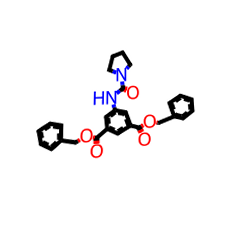 O=C(OCc1ccccc1)c1cc(NC(=O)N2CCCC2)cc(C(=O)OCc2ccccc2)c1